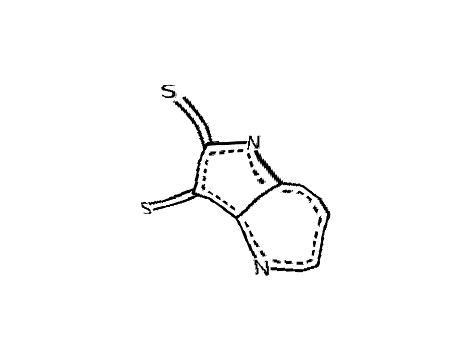 S=c1nc2ccnc-2c1=S